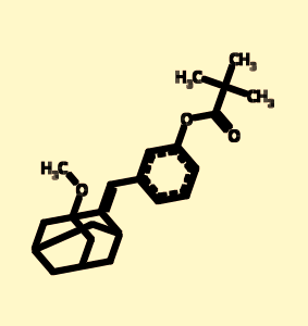 COC12CC3CC(CC(C3)C1=Cc1cccc(OC(=O)C(C)(C)C)c1)C2